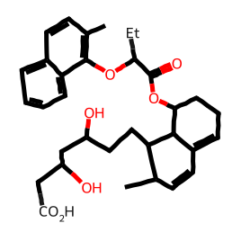 CCC(Oc1c(C)ccc2ccccc12)C(=O)OC1CCC=C2C=CC(C)C(CCC(O)CC(O)CC(=O)O)C21